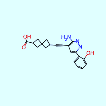 Nc1nnc(-c2ccccc2O)cc1C#CC1CC2(C1)CC(C(=O)O)C2